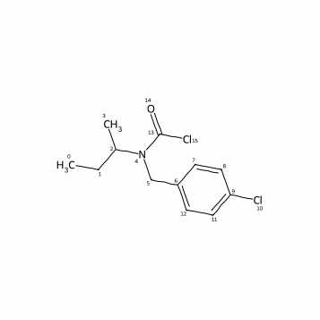 CCC(C)N(Cc1ccc(Cl)cc1)C(=O)Cl